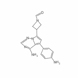 Nc1ccc(-c2cc(C3CN(C=O)C3)n3ncnc(N)c23)cc1